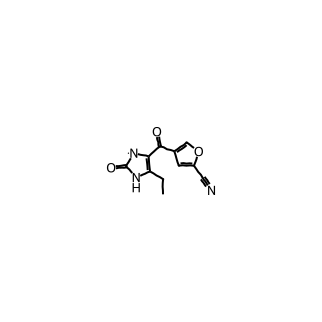 CCC1=C(C(=O)c2coc(C#N)c2)[N]C(=O)N1